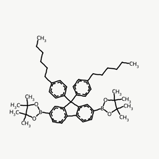 CCCCCCc1ccc(C2(c3ccc(CCCCCC)cc3)c3cc(B4OC(C)(C)C(C)(C)O4)ccc3-c3ccc(B4OC(C)(C)C(C)(C)O4)cc32)cc1